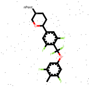 CCCCCC1CCC(c2cc(F)c(C(F)(F)Oc3cc(F)c(C)c(F)c3)c(F)c2)OC1